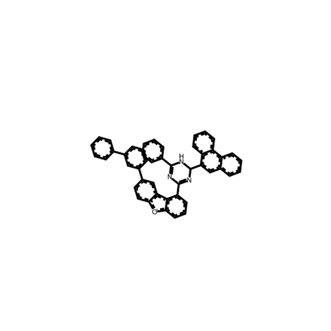 c1ccc(C2=NC(c3cccc4oc5ccc(-c6cccc(-c7ccccc7)c6)cc5c34)=NC(c3cc4ccccc4c4ccccc34)N2)cc1